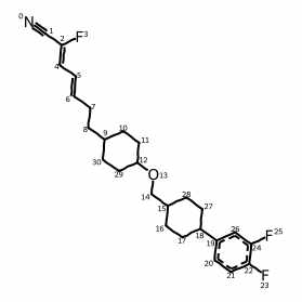 N#CC(F)=CC=CCCC1CCC(OCC2CCC(c3ccc(F)c(F)c3)CC2)CC1